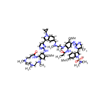 C=CC(=O)Nc1cc(Nc2ncc(C(F)(F)F)c(-c3cn(S(=O)(=O)N(C)C)c4cc(OC)ccc34)n2)c(OC)cc1N(C)CCN(C)Cc1ccc2c(c1)c(-c1ccnc(Nc3cc(NC(=O)/C=C/CN(C)C)c(N(C)CCN(C)C)cc3OC)n1)cn2C1CC1